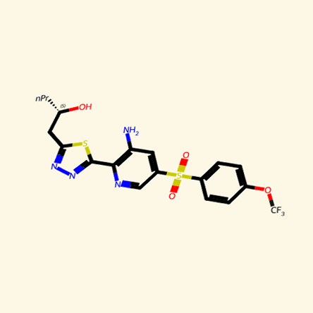 CCC[C@H](O)Cc1nnc(-c2ncc(S(=O)(=O)c3ccc(OC(F)(F)F)cc3)cc2N)s1